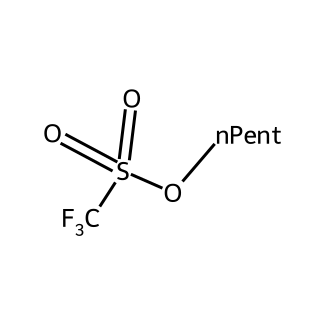 CCCCCOS(=O)(=O)C(F)(F)F